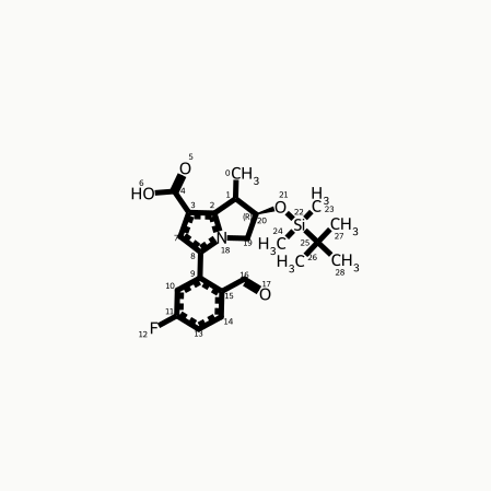 CC1c2c(C(=O)O)cc(-c3cc(F)ccc3C=O)n2C[C@@H]1O[Si](C)(C)C(C)(C)C